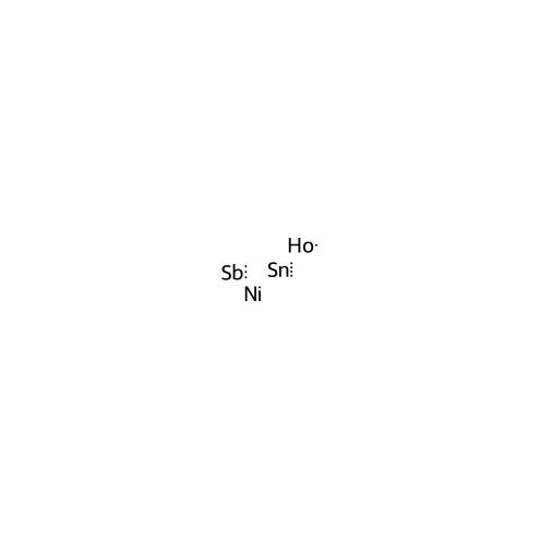 [Ho].[Ni].[Sb].[Sn]